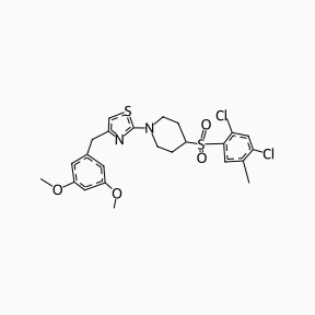 COc1cc(Cc2csc(N3CCC(S(=O)(=O)c4cc(C)c(Cl)cc4Cl)CC3)n2)cc(OC)c1